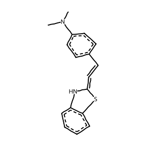 CN(C)c1ccc(C=C=C2Nc3ccccc3S2)cc1